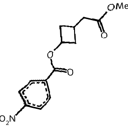 COC(=O)CC1CC(OC(=O)c2ccc([N+](=O)[O-])cc2)C1